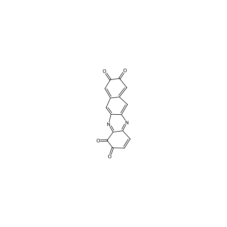 O=c1cc2cc3nc4ccc(=O)c(=O)c4nc3cc2cc1=O